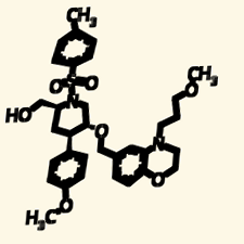 COCCCN1CCOc2ccc(CO[C@H]3CN(S(=O)(=O)c4ccc(C)cc4)[C@H](CO)C[C@@H]3c3ccc(OC)cc3)cc21